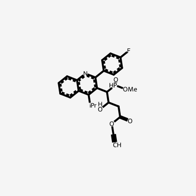 C#COC(=O)CC(O)C(c1c(-c2ccc(F)cc2)nc2ccccc2c1C(C)C)[PH](=O)OC